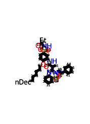 CCCCCCCCCCCCCCCCOc1ccc(S(=O)(=O)NC(=O)CC)cc1NC(=O)C(C)C1=Nc2ccccc2S(=O)(=O)N1/C=C/c1ccccc1